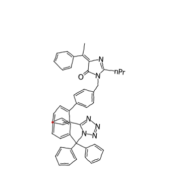 CCCC1=N/C(=C(\C)c2ccccc2)C(=O)N1Cc1ccc(-c2ccccc2-c2nnnn2C(c2ccccc2)(c2ccccc2)c2ccccc2)cc1